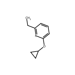 CCc1cccc(OC2CC2)n1